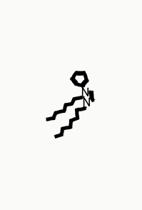 CCCCCCCC[n+]1ccn(-c2ccccc2)c1CCCCCCC